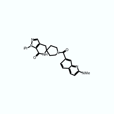 CNc1ccc2ccc(C(=O)N3CCC4(CC3)Cc3cnn(C(C)C)c3C(=O)N4)cc2n1